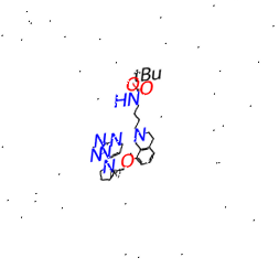 CC(C)(C)OC(=O)NCCCCN1CCc2cccc(OC[C@H]3CCCN3c3ccnc4ncnn34)c2C1